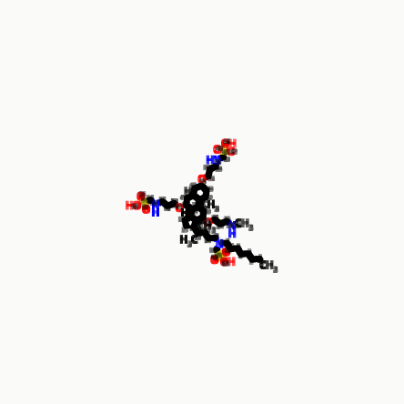 CCCCCCCCN(CCC[C@@H](C)[C@H]1CC[C@H]2C3C(C[C@H](OCCCNC)[C@]12C)[C@@]1(C)CC[C@@H](OCCCNCS(=O)(=O)O)C[C@H]1C[C@H]3OCCCNCS(=O)(=O)O)CS(=O)(=O)O